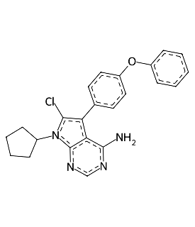 Nc1ncnc2c1c(-c1ccc(Oc3ccccc3)cc1)c(Cl)n2C1CCCC1